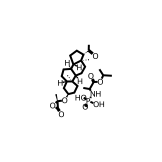 CC(=O)[C@H]1CC[C@H]2[C@@H]3CC[C@H]4C[C@H](O[C@@]5(C)OC5=O)CC[C@]4(C)[C@H]3CC[C@]12C.CC(C)OC(=O)C(C)NP(=O)(O)O